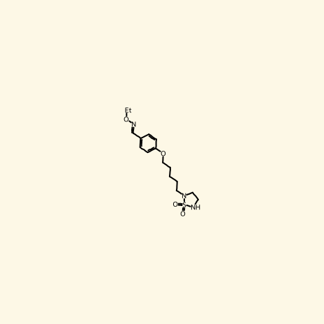 CCO/N=C/c1ccc(OCCCCCN2CCNS2(=O)=O)cc1